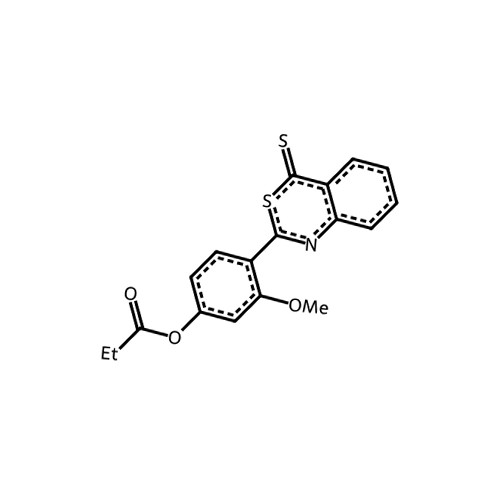 CCC(=O)Oc1ccc(-c2nc3ccccc3c(=S)s2)c(OC)c1